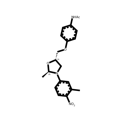 CC(=O)Nc1ccc(OC[C@@H]2CN(c3ccc([N+](=O)[O-])c(C)c3)[C@@H](C)O2)cc1